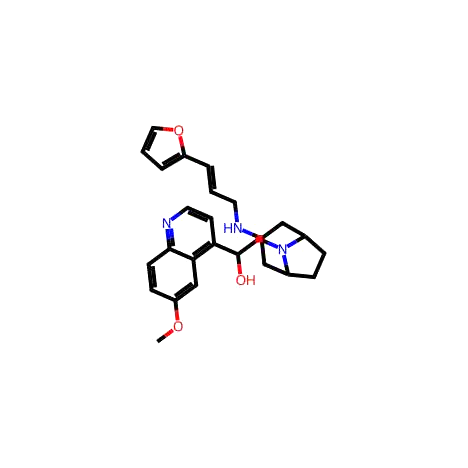 COc1ccc2nccc(C(O)CN3C4CCC3CC(NCC=Cc3ccco3)C4)c2c1